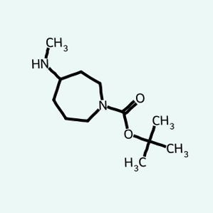 CNC1CCCN(C(=O)OC(C)(C)C)CC1